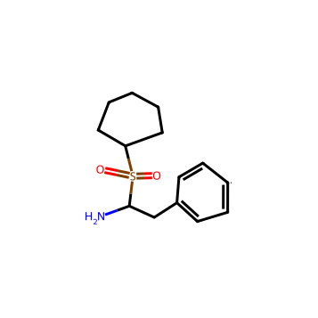 NC(Cc1cc[c]cc1)S(=O)(=O)C1CCCCC1